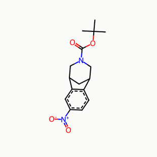 CC(C)(C)OC(=O)N1CC2CC(C1)c1cc([N+](=O)[O-])ccc12